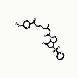 CC(CCNC(=O)c1ccc(OC(F)(F)F)cc1)CC(=O)N1CCC2C1C(=O)CN2S(=O)(=O)c1ccccn1